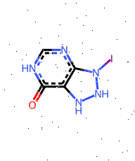 O=c1[nH]cnc2c1NNN2I